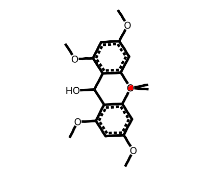 COc1cc(OC)c(C(O)c2c(OC)cc(OC)cc2OC)c(OC)c1